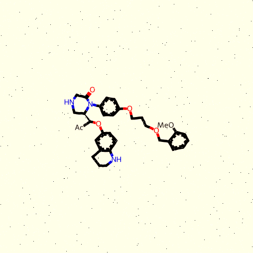 COc1ccccc1COCCCOc1ccc(N2C(=O)CNC[C@@H]2C(Oc2ccc3c(c2)CCCN3)C(C)=O)cc1